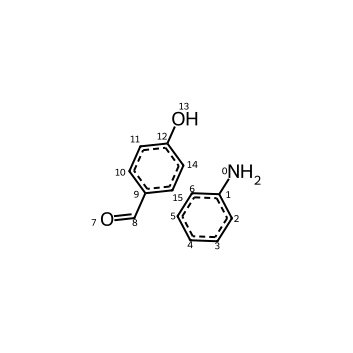 Nc1ccccc1.O=Cc1ccc(O)cc1